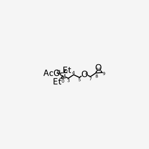 CC[Si](CC)(CCCOCC1CO1)OC(C)=O